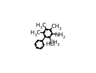 Cc1c(C)c(N)c(C)c(-c2ccccc2)c1C.Cl